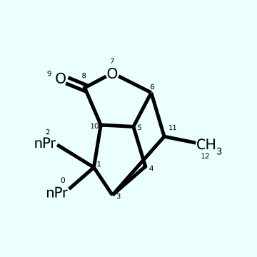 CCCC1(CCC)C2CC3C(OC(=O)C31)C2C